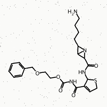 NCCCCC1C2C(C(=O)NC3SCC=C3C(=O)NC(=O)OCCOCc3ccccc3)N12